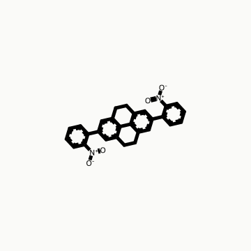 O=[N+]([O-])c1ccccc1-c1cc2c3c(c1)CCc1cc(-c4ccccc4[N+](=O)[O-])cc(c1-3)CC2